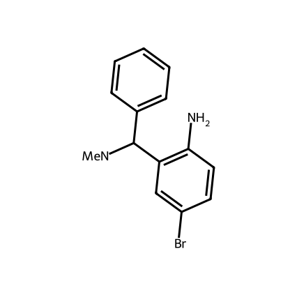 CNC(c1ccccc1)c1cc(Br)ccc1N